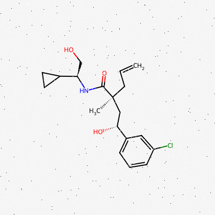 C=CC[C@@](C)(C[C@@H](O)c1cccc(Cl)c1)C(=O)N[C@H](CO)C1CC1